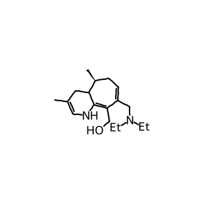 CCN(CC)CC1=CC[C@H](C)C2CC(C)=CNC2=C1CO